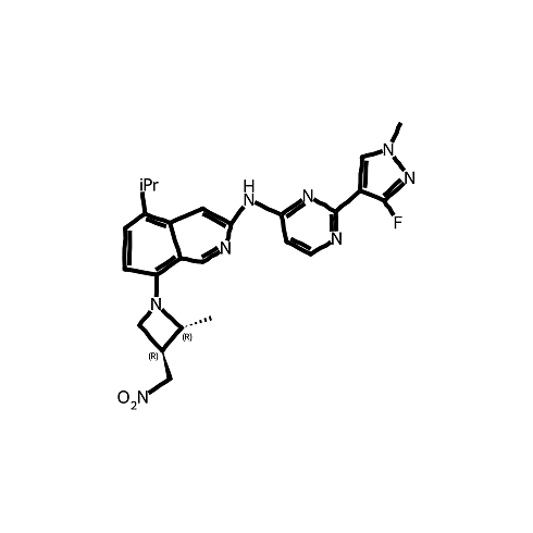 CC(C)c1ccc(N2C[C@H](C[N+](=O)[O-])[C@H]2C)c2cnc(Nc3ccnc(-c4cn(C)nc4F)n3)cc12